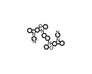 c1ccc2c(c1)Oc1cc3c4ccccc4n(-c4ccncc4)c3cc1N2c1ccc2cc(N3c4ccccc4Oc4cc5c6ccccc6n(-c6ccncc6)c5cc43)ccc2c1